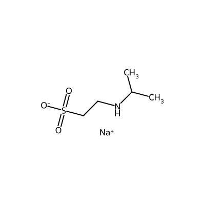 CC(C)NCCS(=O)(=O)[O-].[Na+]